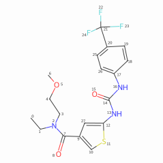 CCN(CCOC)C(=O)c1csc(NC(=O)Nc2ccc(C(F)(F)F)cc2)c1